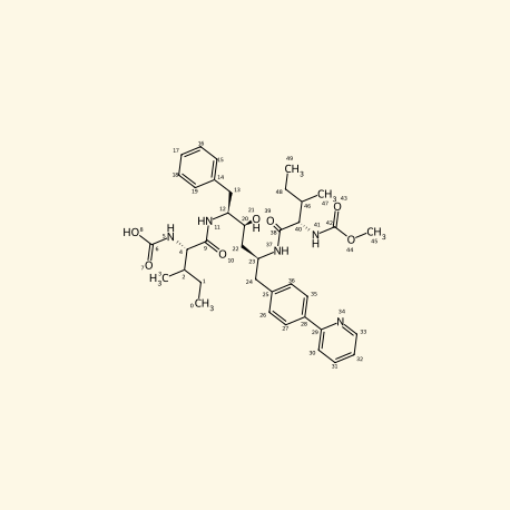 CCC(C)[C@H](NC(=O)O)C(=O)N[C@@H](Cc1ccccc1)[C@@H](O)C[C@H](Cc1ccc(-c2ccccn2)cc1)NC(=O)[C@@H](NC(=O)OC)C(C)CC